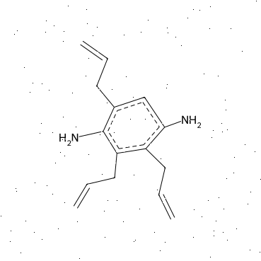 C=CCc1cc(N)c(CC=C)c(CC=C)c1N